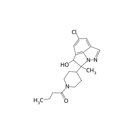 CCCC(=O)N1CCC(C2(C)C(O)c3cc(Cl)cc4cnn2c34)CC1